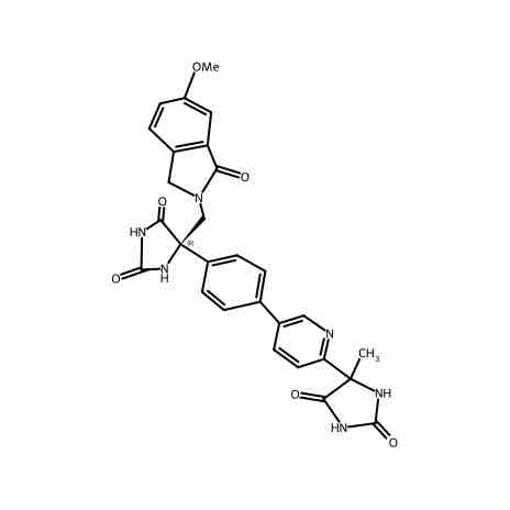 COc1ccc2c(c1)C(=O)N(C[C@@]1(c3ccc(-c4ccc(C5(C)NC(=O)NC5=O)nc4)cc3)NC(=O)NC1=O)C2